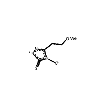 CCn1c(CCOC)n[nH]c1=S